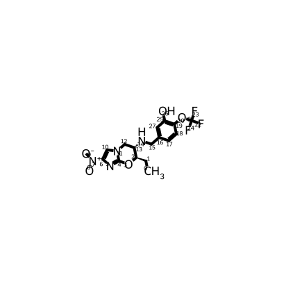 CC[C@H]1Oc2nc([N+](=O)[O-])cn2C[C@@H]1NCc1ccc(OC(F)(F)F)c(O)c1